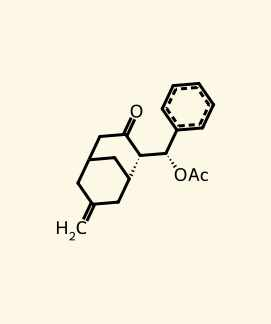 C=C1CC2CC(=O)[C@H]([C@@H](OC(C)=O)c3ccccc3)C(C1)C2